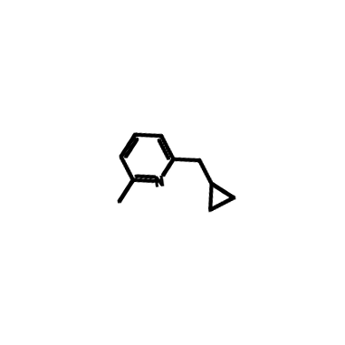 Cc1cccc(CC2CC2)n1